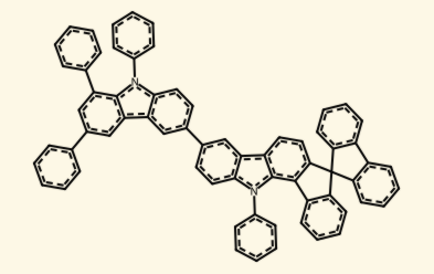 c1ccc(-c2cc(-c3ccccc3)c3c(c2)c2cc(-c4ccc5c(c4)c4ccc6c(c4n5-c4ccccc4)-c4ccccc4C64c5ccccc5-c5ccccc54)ccc2n3-c2ccccc2)cc1